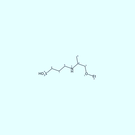 CCOCC(C)NCCCS(=O)(=O)O